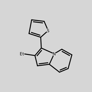 CCc1cc2ccccn2c1-c1cccs1